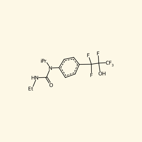 CCNC(=O)N(c1ccc(C(F)(F)C(O)(F)C(F)(F)F)cc1)C(C)C